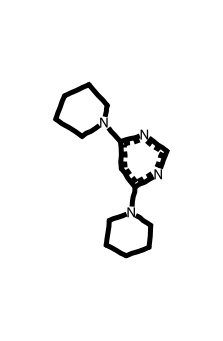 c1nc(N2CCCCC2)cc(N2CCCCC2)n1